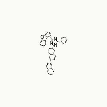 C1=C(c2nc(-c3ccccc3)nc(-c3cccc4oc5ccccc5c34)n2)CCc2cc(-c3ccc4ccccc4c3)ccc21